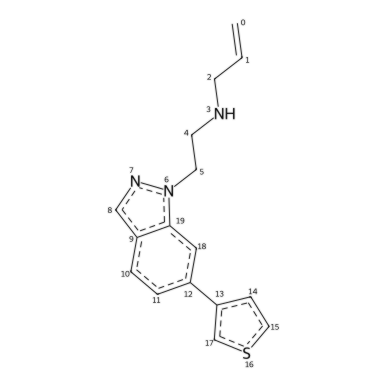 C=CCNCCn1ncc2ccc(-c3ccsc3)cc21